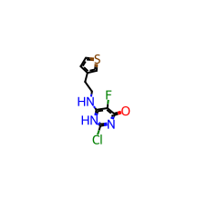 O=c1nc(Cl)[nH]c(NCCc2ccsc2)c1F